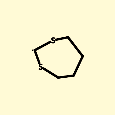 [CH]1SCCCCS1